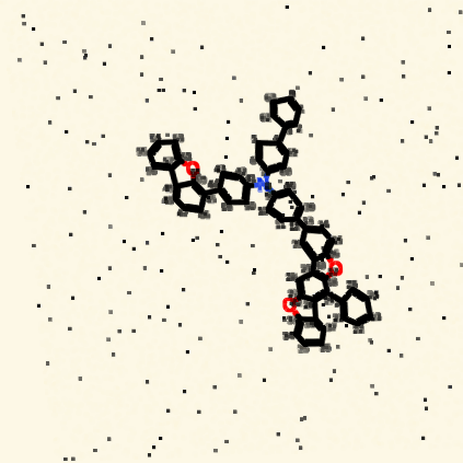 c1ccc(-c2ccc(N(c3ccc(-c4ccc5oc6c(-c7ccccc7)c7c(cc6c5c4)oc4ccccc47)cc3)c3ccc(-c4cccc5c4oc4ccccc45)cc3)cc2)cc1